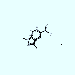 Cn1nc(I)c2cc(C(=O)O)ncc21